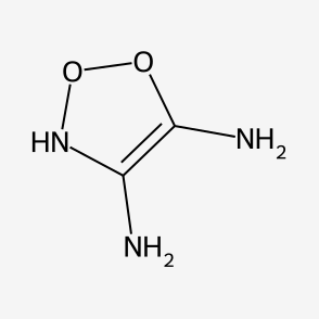 NC1=C(N)OON1